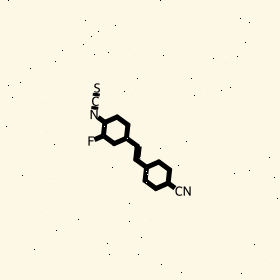 N#CC1CCC(/C=C/C2CCC(N=C=S)C(F)C2)CC1